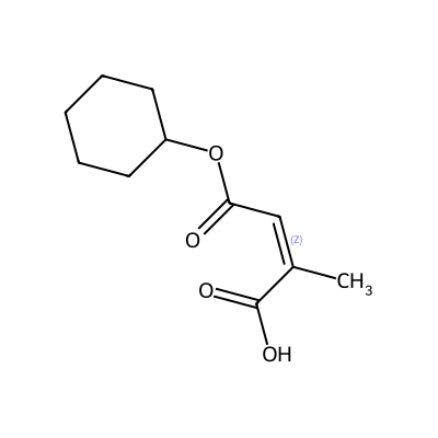 C/C(=C/C(=O)OC1CCCCC1)C(=O)O